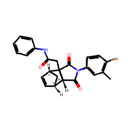 Cc1cc(N2C(=O)[C@@H]3[C@@H]4C=C[C@@H](C4)C3(CC(=O)Nc3ccccc3)C2=O)ccc1Br